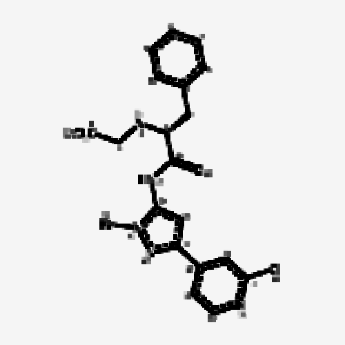 CCOC(=O)CN[C@@H](Cc1ccccc1)C(=O)Nc1cc(-c2ccnc(Cl)c2)nn1CC